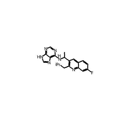 CC(C)Cc1nc2cc(F)ccc2cc1C(C)Nc1ncnc2[nH]cnc12